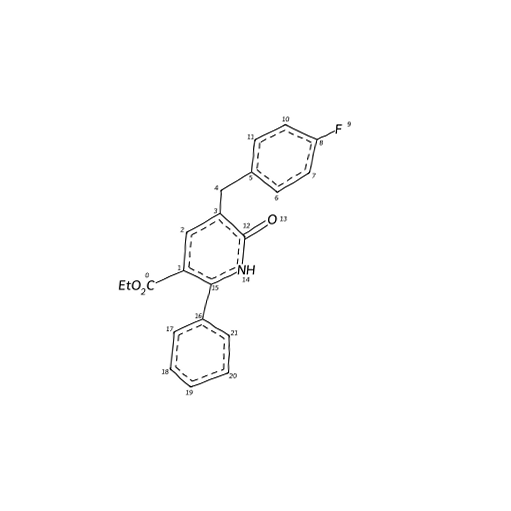 CCOC(=O)c1cc(Cc2ccc(F)cc2)c(=O)[nH]c1-c1ccccc1